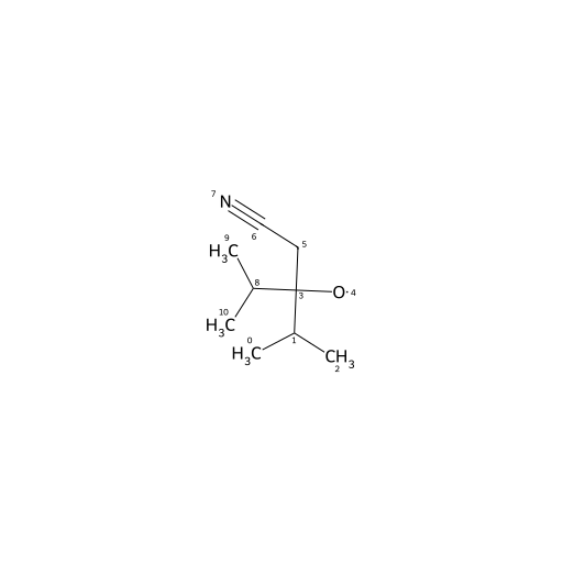 CC(C)C([O])(CC#N)C(C)C